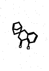 O=C1CC2(CC3=CCC2C3)Cc2cccc(Cl)c21